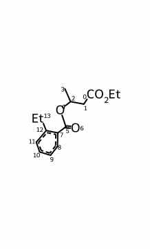 CCOC(=O)CC(C)OC(=O)c1ccccc1CC